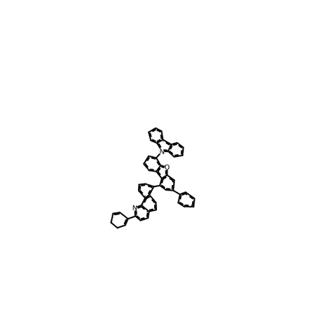 C1=CC(c2ccc3ccc4c(-c5cc(-c6ccccc6)cc6oc7c(-n8c9ccccc9c9ccccc98)cccc7c56)cccc4c3n2)=CCC1